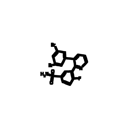 NS(=O)(=O)c1ccc(F)c(-c2ncccc2-c2cc(Br)cc(Br)c2)c1